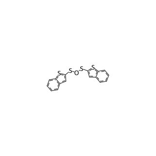 c1ccc2sc(SOSc3cc4ccccc4s3)cc2c1